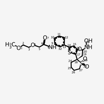 COCCOCC(=O)Nc1cccc(-c2ccc([C@@]3(CC(=O)NO)CCCCS3(=O)=O)s2)c1